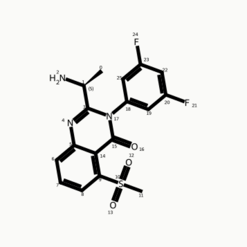 C[C@H](N)c1nc2cccc(S(C)(=O)=O)c2c(=O)n1-c1cc(F)cc(F)c1